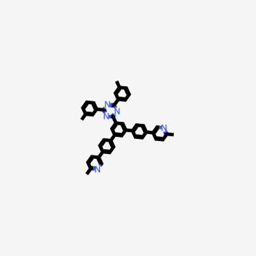 Cc1cccc(-c2nc(-c3cccc(C)c3)nc(-c3cc(-c4ccc(-c5ccc(C)nc5)cc4)cc(-c4ccc(-c5ccc(C)nc5)cc4)c3)n2)c1